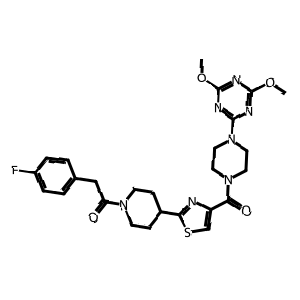 COc1nc(OC)nc(N2CCN(C(=O)c3csc(C4CCN(C(=O)Cc5ccc(F)cc5)CC4)n3)CC2)n1